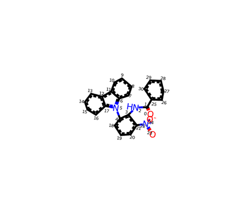 O=C(Nc1c(-n2c3ccccc3c3ccccc32)cccc1[N+](=O)[O-])c1ccccc1